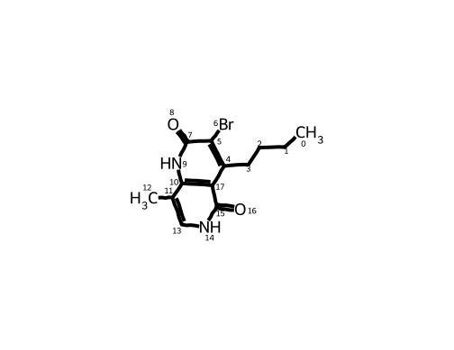 CCCCc1c(Br)c(=O)[nH]c2c(C)c[nH]c(=O)c12